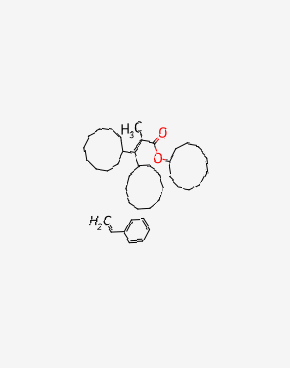 C=Cc1ccccc1.CC(C(=O)OC1CCCCCCCCC1)=C(C1CCCCCCCCC1)C1CCCCCCCCC1